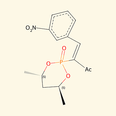 CC(=O)C(=Cc1cccc([N+](=O)[O-])c1)P1(=O)O[C@@H](C)C[C@H](C)O1